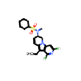 CN([C@@H]1C=Cc2c(CC=O)c3c(Cl)nc(Cl)cc3n2C1)S(=O)(=O)C1CCCCC1